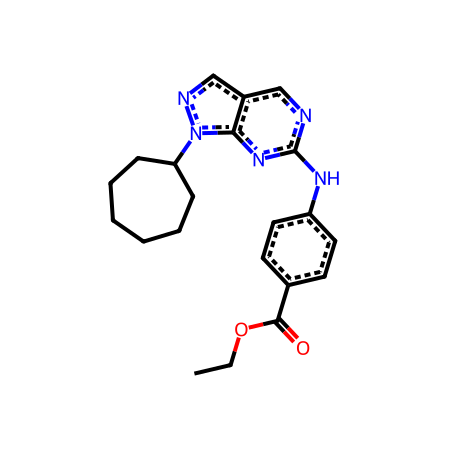 CCOC(=O)c1ccc(Nc2ncc3cnn(C4CCCCCC4)c3n2)cc1